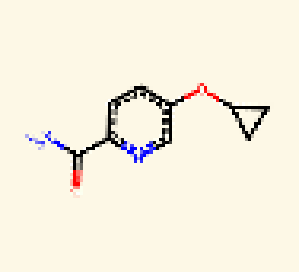 NC(=O)c1ccc(OC2CC2)cn1